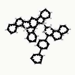 c1ccc(-c2ccc(-c3nc(-n4c5ccccc5c5cc6c7ccc8ccccc8c7n7c8ccccc8c(c54)c67)nc4c3ccc3ccccc34)cc2)cc1